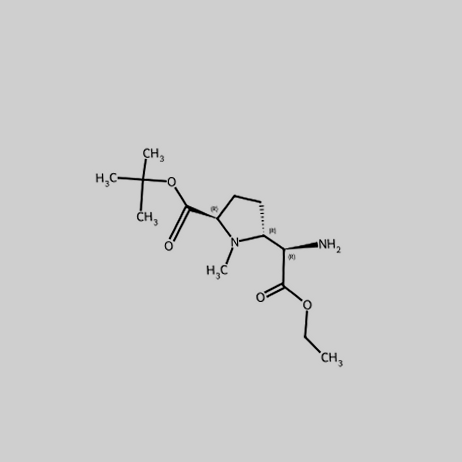 CCOC(=O)[C@H](N)[C@H]1CC[C@H](C(=O)OC(C)(C)C)N1C